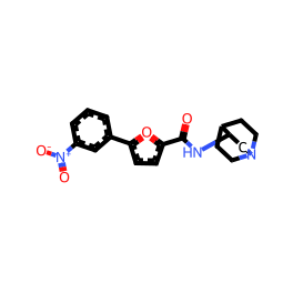 O=C(NC1CN2CCC1CC2)c1ccc(-c2cccc([N+](=O)[O-])c2)o1